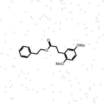 COc1ccc(OC)c(CCC(=O)OCCc2ccccc2)c1